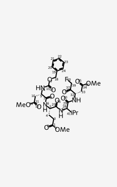 COC(=O)CC[C@H](NC(=O)[C@H](CC(=O)OC)NC(=O)OCc1ccccc1)C(=O)NC(C(=O)N[C@@H](CC(=O)OC)C(=O)CF)C(C)C